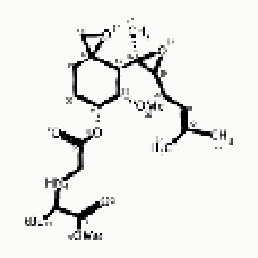 COC(=O)C(NCC(=O)O[C@@H]1CC[C@]2(CO2)[C@@H]([C@@]2(C)OC2CC=C(C)C)[C@@H]1OC)C(C)(C)C